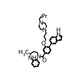 CC(C)CN1CCN(CCCOc2cc(C(=O)N3CC[C@H](C)Nc4ccccc43)ccc2-c2ccc3[nH]ccc3c2)CC1